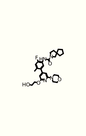 Cc1cc(F)c(NC(=O)N2CCC3(CCCC3)C2)cc1-c1cc(OCCO)nc(N2CCOCC2)c1